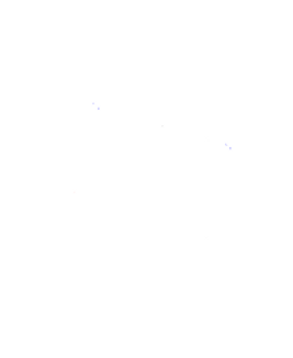 Cc1ccc(S(=O)(=O)O)cc1.N#CC12CCN(CC1)CC2